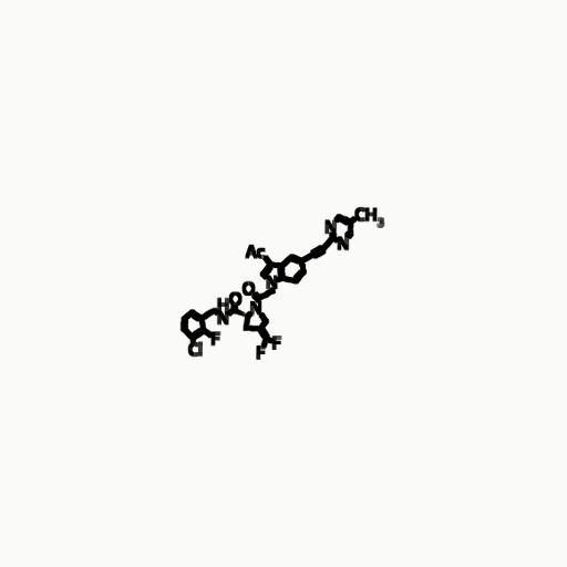 CC(=O)c1cn(CC(=O)N2CC(=C(F)F)C[C@H]2C(=O)NCc2cccc(Cl)c2F)c2ccc(C#Cc3ncc(C)cn3)cc12